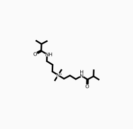 CC(C)C(=O)NCCC[N+](C)(C)CCCNC(=O)C(C)C